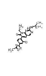 CCn1c(=O)c(-c2ccc(-c3noc(C)n3)cc2Cl)cc2cnc(NC(C)C)nc21